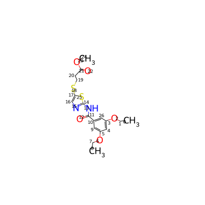 CCOc1cc(OCC)cc(C(=O)Nc2ncc(SCCC(=O)OC)s2)c1